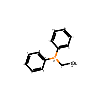 CC(C)(C)CP(c1ccccc1)c1ccccc1